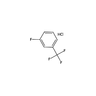 Cl.Fc1cccc(C(F)(F)F)c1